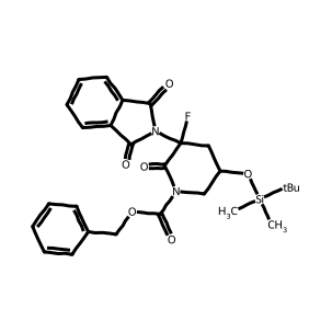 CC(C)(C)[Si](C)(C)OC1CN(C(=O)OCc2ccccc2)C(=O)C(F)(N2C(=O)c3ccccc3C2=O)C1